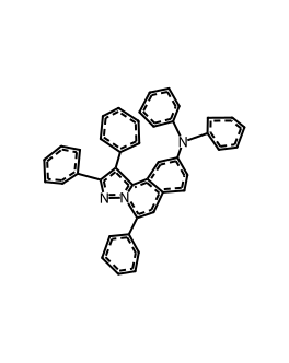 c1ccc(-c2nn3c(-c4ccccc4)cc4ccc(N(c5ccccc5)c5ccccc5)cc4c3c2-c2ccccc2)cc1